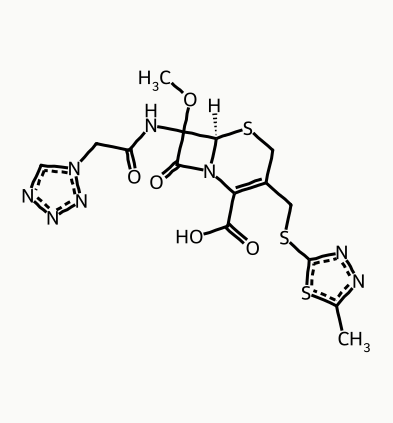 COC1(NC(=O)Cn2cnnn2)C(=O)N2C(C(=O)O)=C(CSc3nnc(C)s3)CS[C@@H]21